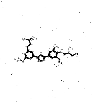 CCc1cc(-c2noc(-c3cc(CCC(C)C)nc(OC)c3)n2)cc(C)c1OC[C@@H](O)CO